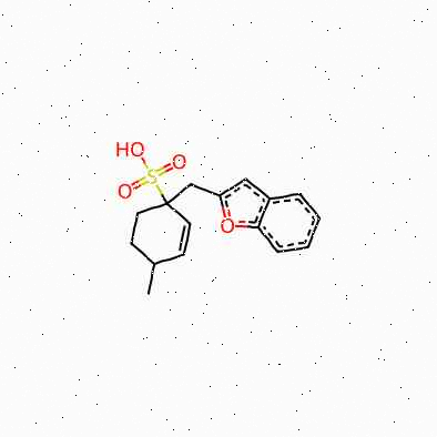 CC1C=CC(Cc2cc3ccccc3o2)(S(=O)(=O)O)CC1